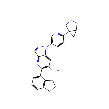 COc1cc2c(cnn2-c2ccc(C34CNCC3C4)nc2)nc1-c1cccc2c1CCC2